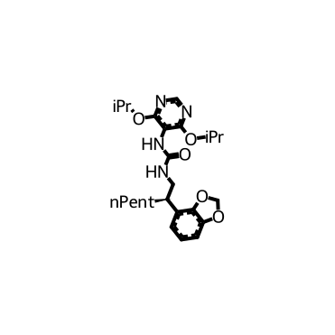 CCCCC[C@@H](CNC(=O)Nc1c(OC(C)C)ncnc1OC(C)C)c1cccc2c1OCO2